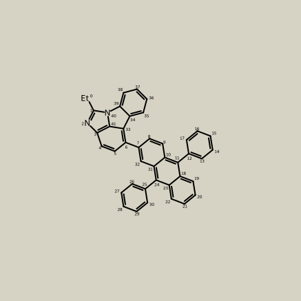 CCc1nc2ccc(-c3ccc4c(-c5ccccc5)c5ccccc5c(-c5ccccc5)c4c3)c3c4ccccc4n1c23